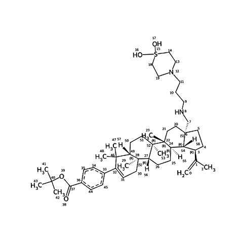 C=C(C)[C@@H]1CC[C@]2(CNCCCN3CCS(O)(O)CC3)CC[C@]3(C)[C@H](CC[C@@H]4[C@@]5(C)CC=C(c6ccc(C(=O)OC(C)(C)C)cc6)C(C)(C)[C@@H]5CC[C@]43C)[C@@H]12